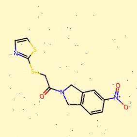 O=C(CSc1nccs1)N1Cc2ccc([N+](=O)[O-])cc2C1